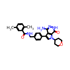 Cc1ccc(C)c(C(=O)NCc2ccc(-c3cn(C4CCOCC4)c4c(=O)[nH]nc(N)c34)cc2)c1